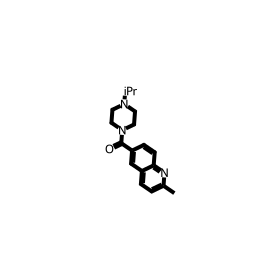 Cc1ccc2cc(C(=O)N3CCN(C(C)C)CC3)ccc2n1